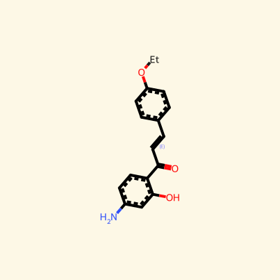 CCOc1ccc(/C=C/C(=O)c2ccc(N)cc2O)cc1